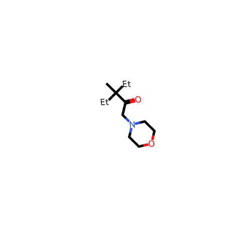 CCC(C)(CC)C(=O)CN1CCOCC1